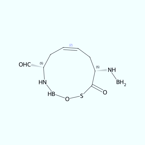 BN[C@H]1C/C=C\C[C@@H](C=O)NBOSC1=O